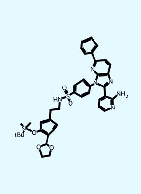 CC(C)(C)[Si](C)(C)Oc1cc(CCNS(=O)(=O)c2ccc(-n3c(-c4cccnc4N)nc4ccc(-c5ccccc5)nc43)cc2)ccc1C1OCCO1